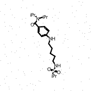 CC(C)N(C(=O)c1ccc(NCCCCCNS(=O)(=O)C(C)C)cc1)C(C)C